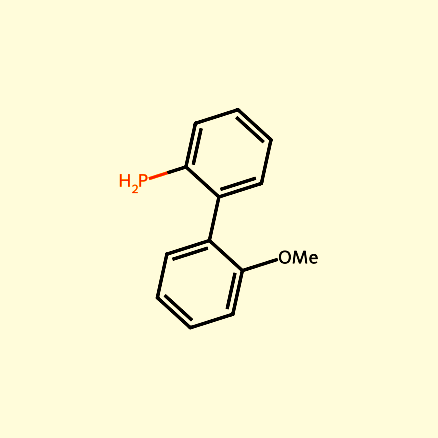 COc1ccccc1-c1ccccc1P